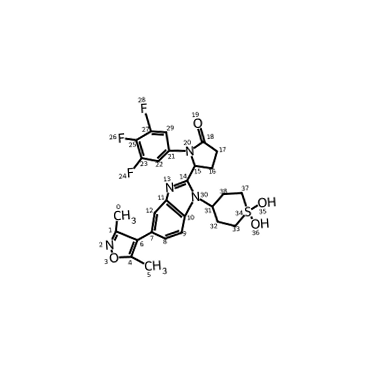 Cc1noc(C)c1-c1ccc2c(c1)nc(C1CCC(=O)N1c1cc(F)c(F)c(F)c1)n2C1CCS(O)(O)CC1